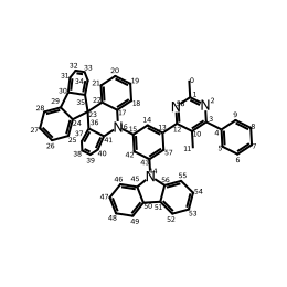 Cc1nc(-c2ccccc2)c(C)c(-c2cc(N3c4ccccc4C4(c5ccccc5-c5ccccc54)c4ccccc43)cc(-n3c4ccccc4c4ccccc43)c2)n1